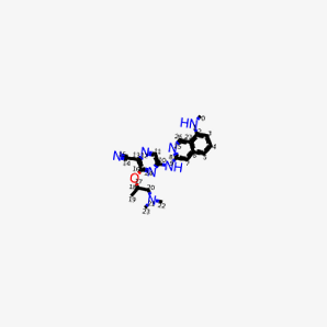 CNc1cccc2cc(Nc3cnc(C#N)c(OC(C)CN(C)C)n3)ncc12